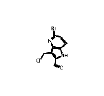 O=Cc1[nH]c2ccc(Br)nc2c1CCl